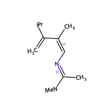 C=C(/C(C)=C\N=C(/C)NC)C(C)C